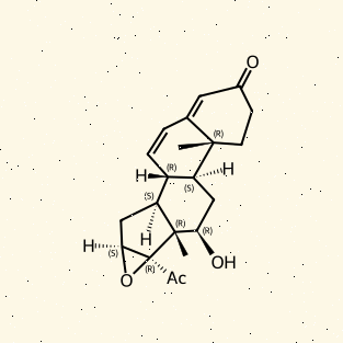 CC(=O)[C@]12O[C@H]1C[C@H]1[C@@H]3C=CC4=CC(=O)CC[C@]4(C)[C@H]3C[C@@H](O)[C@@]12C